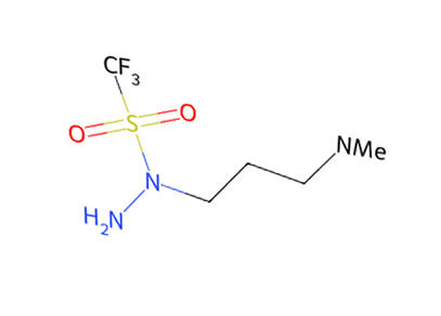 CNCCCN(N)S(=O)(=O)C(F)(F)F